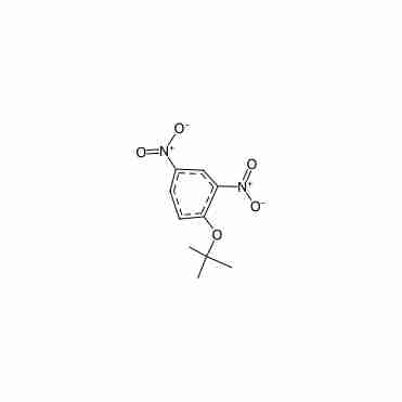 CC(C)(C)Oc1ccc([N+](=O)[O-])cc1[N+](=O)[O-]